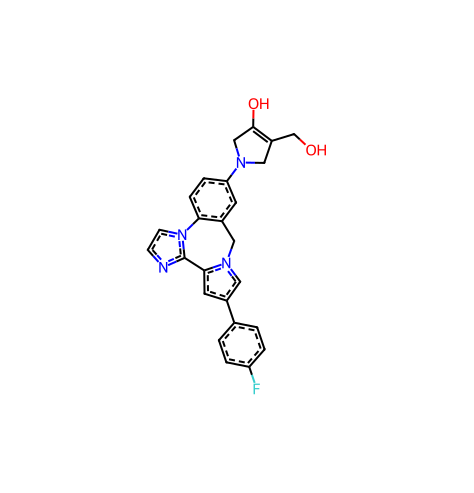 OCC1=C(O)CN(c2ccc3c(c2)Cn2cc(-c4ccc(F)cc4)cc2-c2nccn2-3)C1